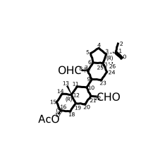 C=C(C)[C@H]1CCC2[C@H](C=O)C(C3C[C@@]4(C)CC[C@H](OC(C)=O)CC4CC3C=O)CC[C@@]21C